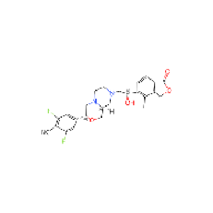 Cc1c([C@@H](O)CN2CCN3C[C@@H](c4cc(F)c(C#N)c(F)c4)OC[C@@H]3C2)ccc2c1COC2=O